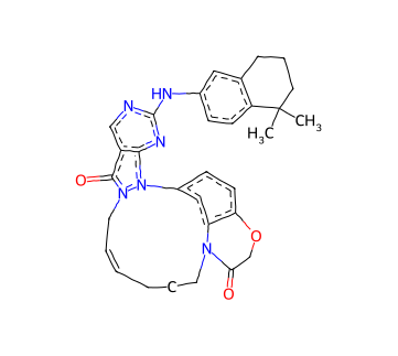 CC1(C)CCCc2cc(Nc3ncc4c(=O)n5n(c4n3)-c3ccc4c(c3)N(CCC/C=C\C5)C(=O)CO4)ccc21